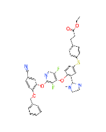 CCOC(=O)CCc1ccc(Sc2ccc(Oc3c(F)cnc(Oc4cc(C#N)ccc4OCc4ccccc4)c3F)c(C3N=CCN3C)c2)cc1